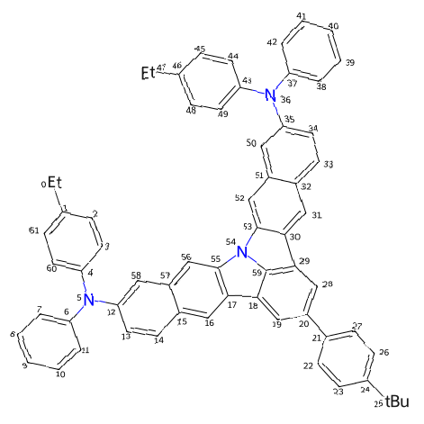 CCc1ccc(N(c2ccccc2)c2ccc3cc4c5cc(-c6ccc(C(C)(C)C)cc6)cc6c7cc8ccc(N(c9ccccc9)c9ccc(CC)cc9)cc8cc7n(c4cc3c2)c56)cc1